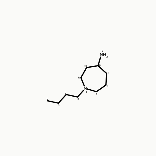 CCCCN1CCCC(N)CC1